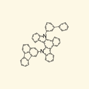 c1ccc(-c2cccc(-n3c4ccccc4c4c3c3ccccc3c3c5ccccc5n(-c5cc6c7c(cccc7c5)-c5ccccc5-6)c34)c2)cc1